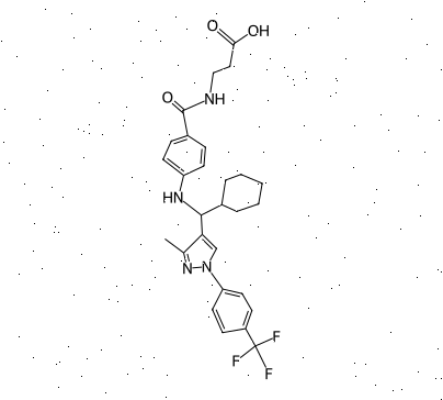 Cc1nn(-c2ccc(C(F)(F)F)cc2)cc1C(Nc1ccc(C(=O)NCCC(=O)O)cc1)C1CCCCC1